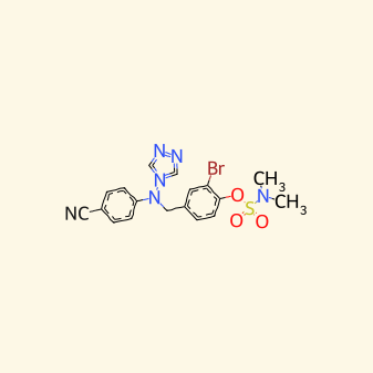 CN(C)S(=O)(=O)Oc1ccc(CN(c2ccc(C#N)cc2)n2cnnc2)cc1Br